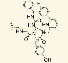 C=CCNCC(=O)N1C(NC(=O)NCc2ccccc2)CN(CC2=CC=CC(c3ccc(F)cc3)N2)C(=O)[C@@H]1Cc1ccc(O)cc1